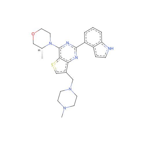 C[C@@H]1COCCN1c1nc(-c2cccc3[nH]ccc23)nc2c(CN3CCN(C)CC3)csc12